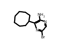 Nc1ncc(Br)nc1C1CCCCCCC1